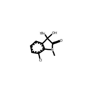 CN1C(=O)C(O)(C(C)(C)C)c2cccc(Cl)c21